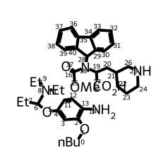 CCCCOc1cc(OC(CC)N(CC)CC)ccc1N.COC(=O)N(C(CC1CCCNC1)C(=O)O)C1c2ccccc2-c2ccccc21